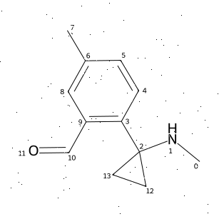 CNC1(c2ccc(C)cc2C=O)CC1